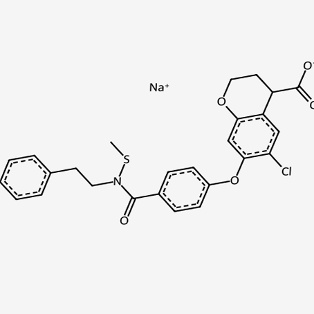 CSN(CCc1ccccc1)C(=O)c1ccc(Oc2cc3c(cc2Cl)C(C(=O)[O-])CCO3)cc1.[Na+]